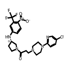 O=C(CCN1CCN(c2ccc(Cl)cn2)CC1)N1CC[C@H](Nc2ccc([N+](=O)[O-])c(C(F)(F)F)c2)C1